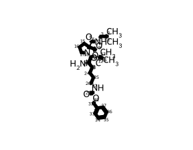 CC(C)CNC(=O)[C@]1(C(=O)OC(C)(C)C)CCCN1C(=O)[C@@H](N)CCCCNC(=O)OCc1ccccc1